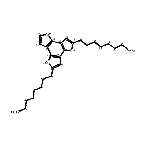 CCCCCCCCc1cc2c(s1)c1ccsc1c1cc(CCCCCCCC)sc12